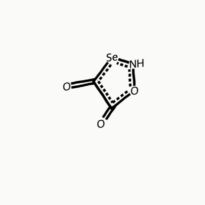 O=c1o[nH][se]c1=O